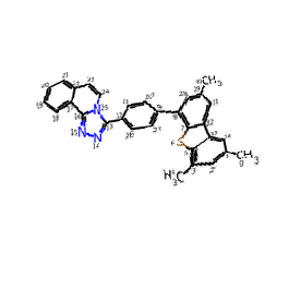 Cc1cc(C)c2sc3c(-c4ccc(-c5nnc6c7ccccc7ccn56)cc4)cc(C)cc3c2c1